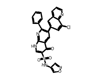 O=c1c(S(=O)(=O)Nc2cnoc2)c[nH]c2nc(-c3ccccc3)c(-c3cc(Cl)c4ncccc4c3)cc12